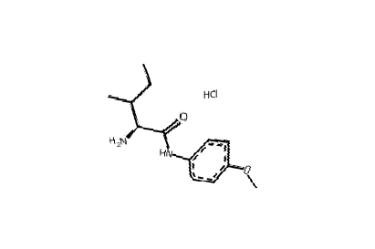 CCC(C)[C@H](N)C(=O)Nc1ccc(OC)cc1.Cl